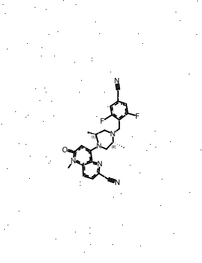 C[C@@H]1CN(c2cc(=O)n(C)c3ccc(C#N)nc23)[C@@H](C)CN1Cc1c(F)cc(C#N)cc1F